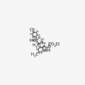 CCOC(=O)Oc1[nH]c2cc(C)cc(C)c2c1CN1CCC(O)(c2ccc(Cl)cc2)CC1